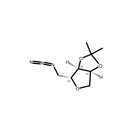 CC1(C)O[C@H]2[C@H](CO[C@@H]2CN=[N+]=[N-])O1